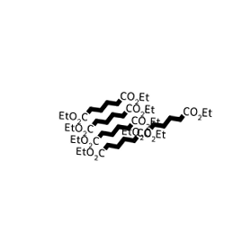 CCOC(=O)CCCCC(=O)OCC.CCOC(=O)CCCCC(=O)OCC.CCOC(=O)CCCCC(=O)OCC.CCOC(=O)CCCCC(=O)OCC.CCOC(=O)CCCCC(=O)OCC